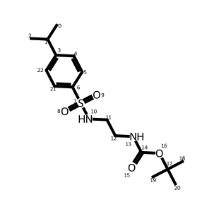 CC(C)c1ccc(S(=O)(=O)NCCNC(=O)OC(C)(C)C)cc1